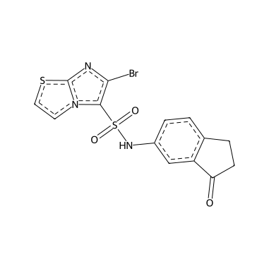 O=C1CCc2ccc(NS(=O)(=O)c3c(Br)nc4sccn34)cc21